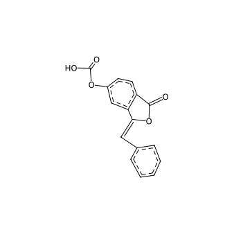 O=C(O)Oc1ccc2c(c1)C(=Cc1ccccc1)OC2=O